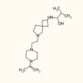 C=C(C)N1CCN(CCN2CCC3(CC(NC(O)C(C)C)C3)C2)CC1